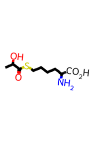 CC(O)C(=O)SCCCCC(N)C(=O)O